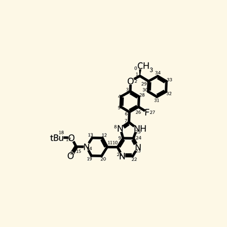 C[C@H](Oc1ccc(-c2nc3c(C4=CCN(C(=O)OC(C)(C)C)CC4)ncnc3[nH]2)c(F)c1)c1ccccc1